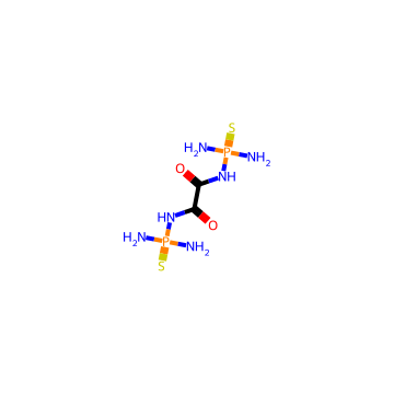 NP(N)(=S)NC(=O)C(=O)NP(N)(N)=S